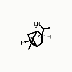 CC(N)[C@H]1CC2=CCC1C[C@H]2C